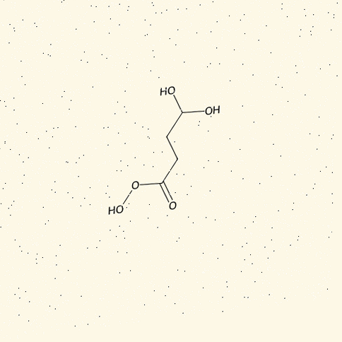 O=C(CCC(O)O)OO